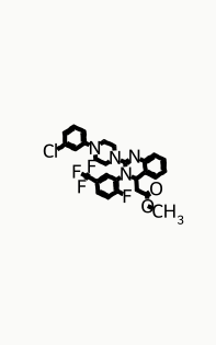 COC(=O)CC1c2ccccc2N=C(N2CCN(c3cccc(Cl)c3)CC2)N1c1cc(C(F)(F)F)ccc1F